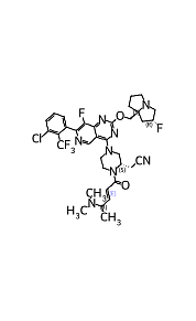 C[C@H](/C=C/C(=O)N1CCN(c2nc(OC[C@@]34CCCN3C[C@H](F)C4)nc3c(F)c(-c4cccc(Cl)c4C(F)(F)F)ncc23)C[C@@H]1CC#N)N(C)C